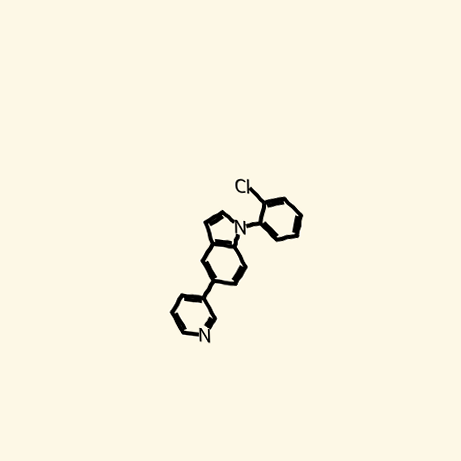 Clc1ccccc1-n1ccc2cc(-c3cccnc3)ccc21